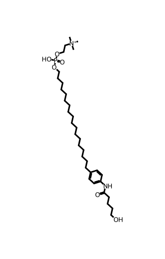 C[N+](C)(C)CCOP(=O)(O)OCCCCCCCCCCCCCCCCCCc1ccc(NC(=O)CCCCO)cc1